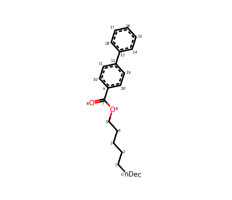 CCCCCCCCCCCCCCCOC(=O)c1ccc(-c2ccccc2)cc1